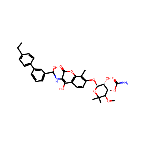 CCc1ccc(-c2cccc(C(O)Nc3c(O)c4ccc(O[C@@H]5OC(C)(C)[C@H](OC)[C@@H](OC(N)=O)[C@H]5O)c(C)c4oc3=O)c2)cc1